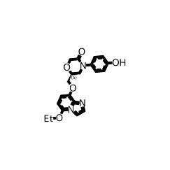 CCOc1ccc(OC[C@@H]2CN(c3ccc(O)cc3)C(=O)CO2)c2nccn12